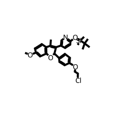 COc1ccc2c(c1)OC(c1ccc(OCCCl)cc1)C(c1ccc(O[Si](C)(C)C(C)(C)C)nc1)=C2C